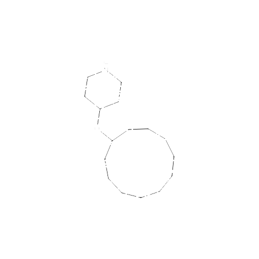 C1CCCCCC(OC2CCNCC2)CCCC1